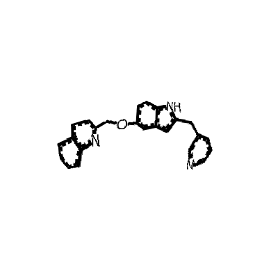 c1cncc(Cc2cc3cc(OCc4ccc5ccccc5n4)ccc3[nH]2)c1